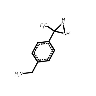 NCc1ccc(C2(C(F)(F)F)NN2)cc1